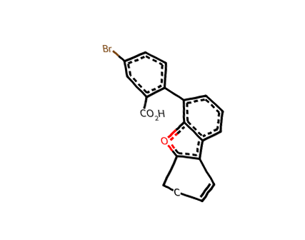 O=C(O)c1cc(Br)ccc1-c1cccc2c3c(oc12)CCC=C3